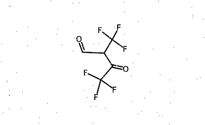 O=CC(C(=O)C(F)(F)F)C(F)(F)F